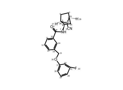 N#CN1[C@H]2CC[C@@H]1[C@H](NC(=O)c1cccc(COc3cccc(F)c3)c1)C2